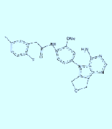 COc1cc(-n2c3c(c4ncnc(N)c42)COC3)ccc1NC(=O)Cc1cc(C)ccc1F